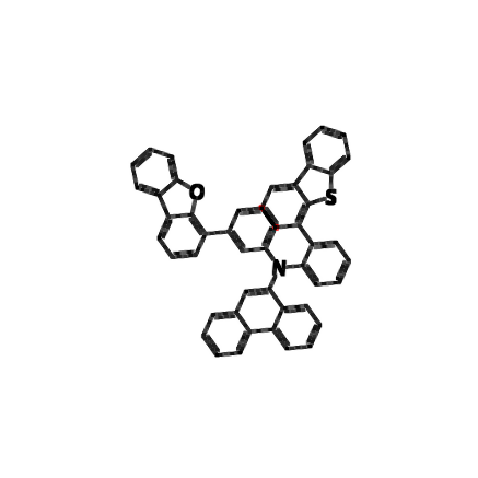 c1cc(-c2cccc3c2oc2ccccc23)cc(N(c2ccccc2-c2cccc3c2sc2ccccc23)c2cc3ccccc3c3ccccc23)c1